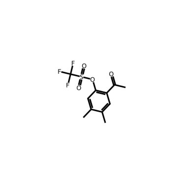 CC(=O)c1cc(C)c(C)cc1OS(=O)(=O)C(F)(F)F